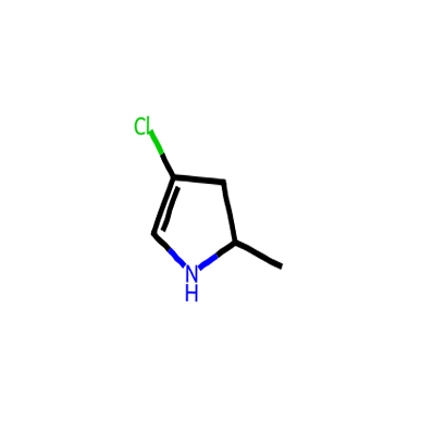 CC1CC(Cl)=CN1